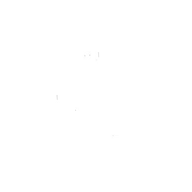 CCOC(=O)C(C)c1cccc(O)c1OCC